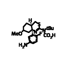 CO[C@H]1CC[C@H]2CSC(N(C(=O)O)C(C)(C)C)=N[C@@]2(c2cc(N)ccc2F)C1